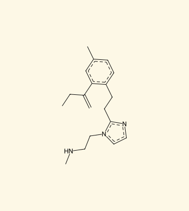 C=C(CC)c1cc(C)ccc1CCc1nccn1CCNC